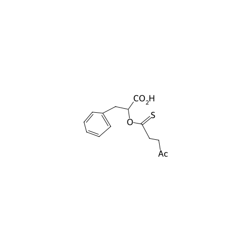 CC(=O)CCC(=S)OC(Cc1ccccc1)C(=O)O